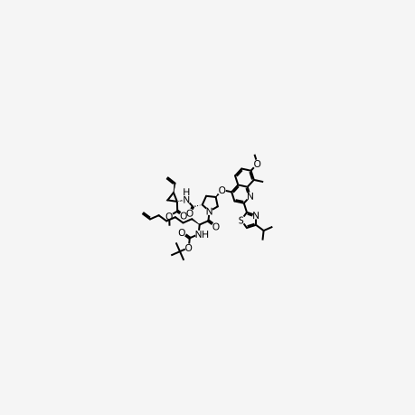 C=CCCCCC[C@H](NC(=O)OC(C)(C)C)C(=O)N1C[C@H](Oc2cc(-c3nc(C(C)C)cs3)nc3c(C)c(OC)ccc23)C[C@H]1C(=O)N[C@]1(C(=O)OC)C[C@H]1C=C